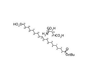 CC(C)(C)OC(=O)CCCCCCCCCCCCCCCCCCC(=O)O.NC(CCC(=O)O)C(=O)O